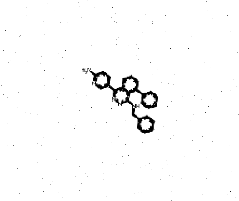 Nc1ccc(-c2nnc(NCc3ccccc3)c3c(-c4ccccc4)cccc23)cn1